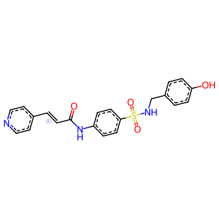 O=C(/C=C/c1ccncc1)Nc1ccc(S(=O)(=O)NCc2ccc(O)cc2)cc1